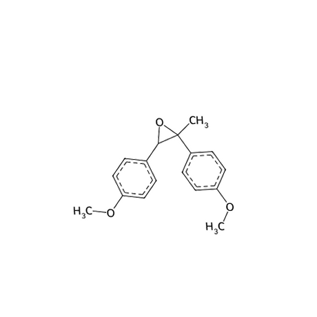 COc1ccc(C2OC2(C)c2ccc(OC)cc2)cc1